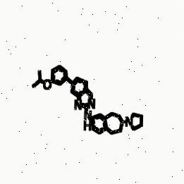 CC(C)Oc1cccc(-c2ccc3cnc(Nc4ccc5c(c4)CC[C@@H](N4CCCC4)CC5)nc3c2)c1